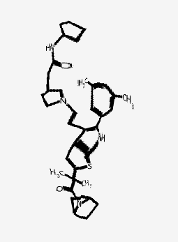 Cc1cc(C)cc(-c2[nH]c3sc(C(C)(C)C(=O)N4C5CCC4CC5)cc3c2CCN2CCC(CC(=O)NC3CCCC3)C2)c1